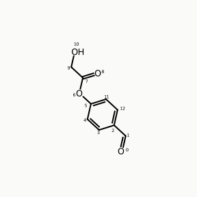 O=Cc1ccc(OC(=O)CO)cc1